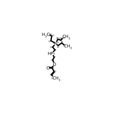 CC=CC(=O)OCCPCC[N+](CCC)(CCC)CCC